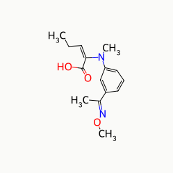 CCC=C(C(=O)O)N(C)c1cccc(C(C)=NOC)c1